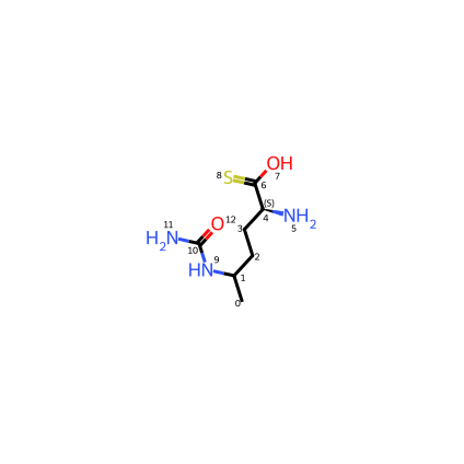 CC(CC[C@H](N)C(O)=S)NC(N)=O